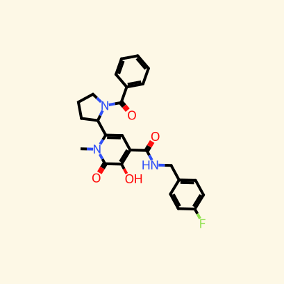 Cn1c(C2CCCN2C(=O)c2ccccc2)cc(C(=O)NCc2ccc(F)cc2)c(O)c1=O